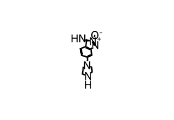 N=C1c2ccc(N3CCNCC3)cc2N=[N+]1[O-]